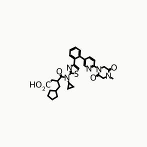 CN1CC(=O)N(c2ccc(-c3ccccc3-c3csc(N(C(=O)C(CC(=O)O)CC4CCCC4)C4CC4)n3)cn2)CC1=O